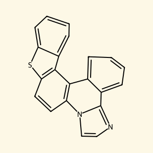 c1ccc2c(c1)sc1ccc3c(c4ccccc4c4nccn34)c12